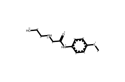 CSc1ccc(NC(=O)CNCCO)cc1